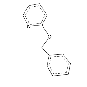 [c]1ccccc1COc1ccccn1